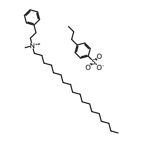 CCCCCCCCCCCCCCCCCC[N+](C)(C)CCc1ccccc1.CCCc1ccc(S(=O)(=O)[O-])cc1